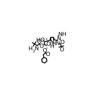 COC(C)(C)C(=O)N/C(=N/C=N)c1ccc([C@]2(C)O[C@H](COC(=O)CC3CCCCC3)[C@@H](OC(=O)[C@@H](N)C(C)(C)C)[C@H]2O)[nH]1